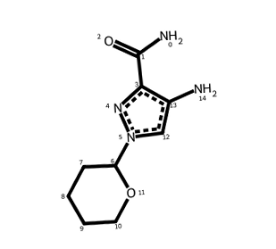 NC(=O)c1nn(C2CCCCO2)cc1N